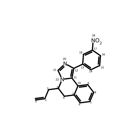 C=CCC1Cc2ccccc2-c2c(-c3cccc([N+](=O)[O-])c3)ncn21